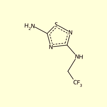 Nc1nc(NCC(F)(F)F)ns1